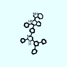 N=C/C(C1=CCCCC1)=C1\NC(c2ccccc2)=C(c2ccc(C3=NC(c4ccccc4)NC(c4cc(-c5ccccc5)cc(-c5ccccc5)c4)=C3)cc2)C2C=CC=CC12